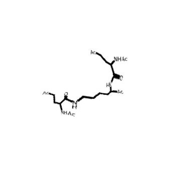 CC(=O)CCC(NC(C)=O)C(=O)NCCCCC(NC(=O)C(CCC(C)=O)NC(C)=O)C(C)=O